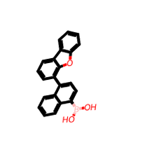 OB(O)c1ccc(-c2cccc3c2oc2ccccc23)c2ccccc12